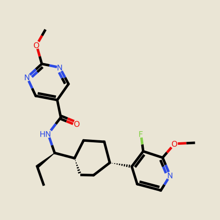 CC[C@@H](NC(=O)c1cnc(OC)nc1)[C@H]1CC[C@@H](c2ccnc(OC)c2F)CC1